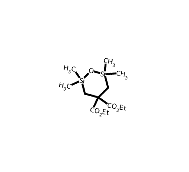 CCOC(=O)C1(C(=O)OCC)C[Si](C)(C)O[Si](C)(C)C1